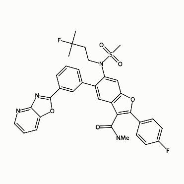 CNC(=O)c1c(-c2ccc(F)cc2)oc2cc(N(CCC(C)(C)F)S(C)(=O)=O)c(-c3cccc(-c4nc5ncccc5o4)c3)cc12